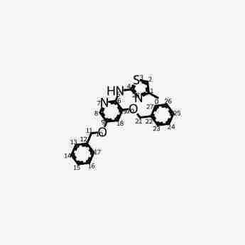 Cc1csc(Nc2ncc(OCc3ccccc3)cc2OCc2ccccc2)n1